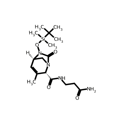 CC1=C[C@@H]2CN(C(=O)N2O[Si](C)(C)C(C)(C)C)[C@@H]1C(=O)NCCC(N)=O